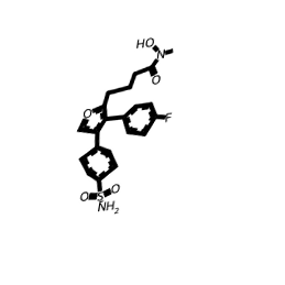 CN(O)C(=O)CCCc1occ(-c2ccc(S(N)(=O)=O)cc2)c1-c1ccc(F)cc1